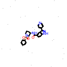 O=C(N[C@@H]1CCCN(S(=O)(=O)c2ccccc2)C1)c1ccc2[nH]nc(-c3ccncc3)c2c1